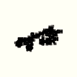 Cc1ccccc1Nc1ncc(C(=O)NCCCCCC(=O)N[C@H](C(=O)N2C[C@H](O)C[C@H]2C(=O)N[C@@H](C)c2ccc(-c3scnc3C)cc2)C(C)(C)C)cc1NC(=O)c1csc2ccccc12